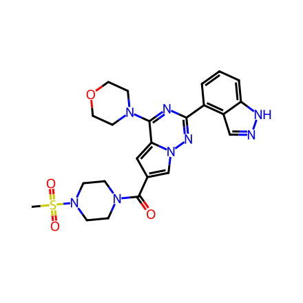 CS(=O)(=O)N1CCN(C(=O)c2cc3c(N4CCOCC4)nc(-c4cccc5[nH]ncc45)nn3c2)CC1